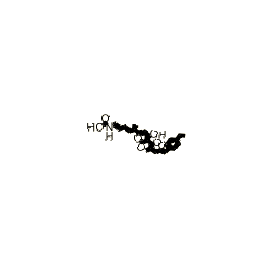 CCc1ccc2cc(C=C(C)C(=O)c3c(O)cc(C(C)CCC=CNC(=O)O)oc3=O)oc2c1